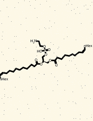 CCCCCC/C=C\CCCCCCCCCC(=O)O[C@H](COC(=O)CCCCCCC/C=C\CCCCCC)COP(=O)(O)OCCN